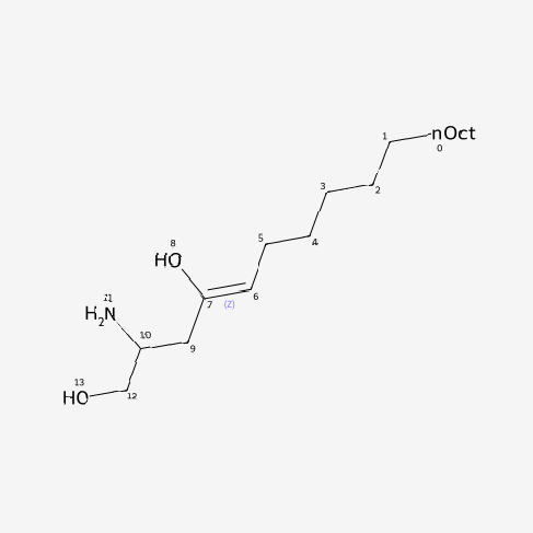 CCCCCCCCCCCCC/C=C(\O)CC(N)CO